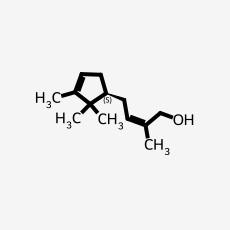 CC(=CC[C@@H]1CC=C(C)C1(C)C)CO